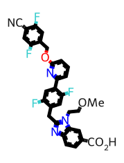 COCCn1c(Cc2cc(F)c(-c3cccc(OCc4cc(F)c(C#N)cc4F)n3)cc2F)nc2ccc(C(=O)O)cc21